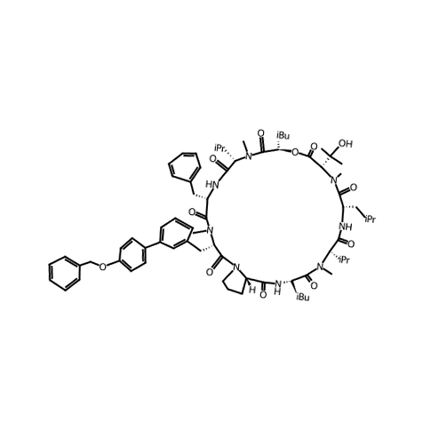 CC[C@H](C)[C@@H]1NC(=O)[C@@H]2CCCN2C(=O)[C@H](Cc2cccc(-c3ccc(OCc4ccccc4)cc3)c2)N(C)C(=O)[C@H](Cc2ccccc2)NC(=O)[C@H](C(C)C)N(C)C(=O)[C@@H]([C@@H](C)CC)OC(=O)[C@H](C(C)(C)O)N(C)C(=O)[C@H](CC(C)C)NC(=O)[C@H](C(C)C)N(C)C1=O